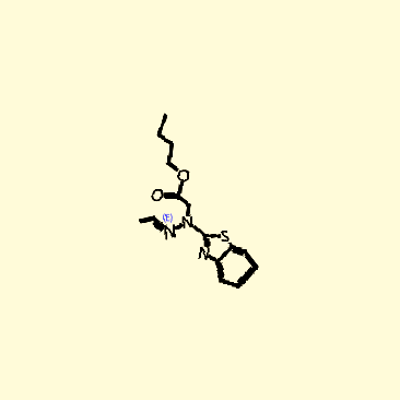 C/C=N/N(CC(=O)OCCCC)c1nc2ccccc2s1